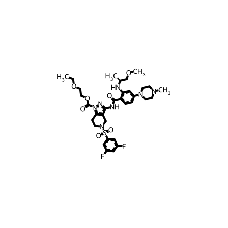 CCOCCOC(=O)n1nc(NC(=O)c2ccc(N3CCN(C)CC3)cc2N[C@@H](C)COC)c2c1CCN(S(=O)(=O)c1cc(F)cc(F)c1)C2